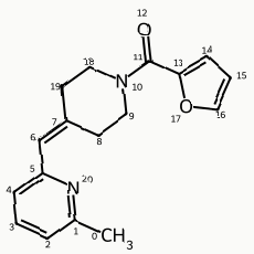 Cc1cccc(C=C2CCN(C(=O)c3ccco3)CC2)n1